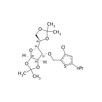 CCCc1cc(Cl)c(CO[C@@H]2[C@H]3OC(C)(C)O[C@H]3O[C@@H]2[C@H]2COC(C)(C)O2)s1